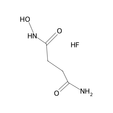 F.NC(=O)CCC(=O)NO